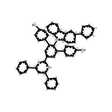 N#Cc1ccc(-c2cc(-c3nc(-c4ccccc4)cc(-c4ccccc4)n3)cc(-c3ccc(C#N)cc3)c2-n2c3ccccc3c3cc(-c4ccccc4)ccc32)cc1